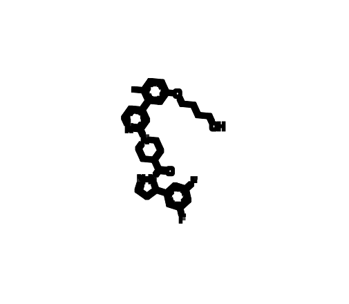 Cc1ccc(OCCCCO)cc1-c1ccnc(N2CCC(C(=O)N3N=CCC3c3cc(F)cc(F)c3)CC2)c1